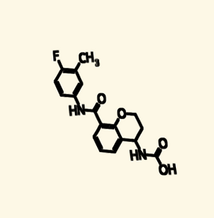 Cc1cc(NC(=O)c2cccc3c2OCCC3NC(=O)O)ccc1F